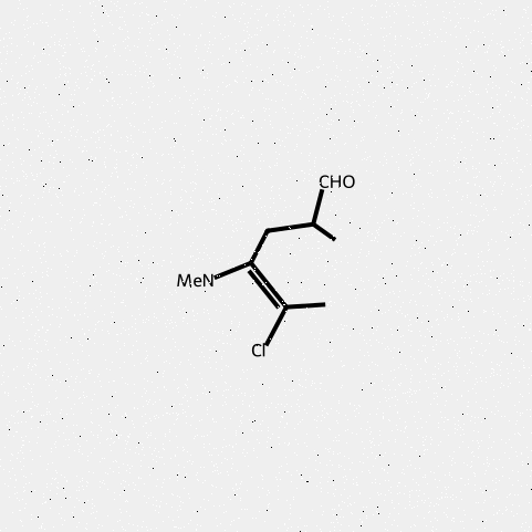 CN/C(CC(C)C=O)=C(/C)Cl